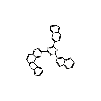 c1ccc2cc(-c3nc(-c4ccc5ccccc5c4)nc(-c4ccc5ccc6oc7ccccc7c6c5c4)n3)ccc2c1